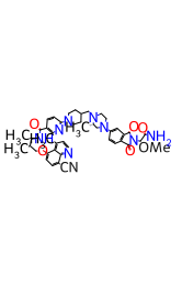 COC(C(N)=O)N1C(=O)c2ccc(N3CCN(CC4CCN(c5ccc(C(=O)N[C@@H](C)C(C)COc6ccc(C#N)c7nccc(C)c67)cn5)CC4)[C@@H](C)C3)cc2C1=O